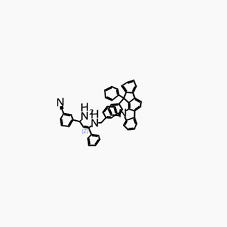 N#Cc1cccc(C(N)/C=C(\NCc2cccc(-n3c4ccccc4c4ccc5c(c43)C(c3ccccc3)(c3ccccc3)c3ccccc3-5)c2)c2ccccc2)c1